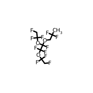 CC(F)(F)COC(F)(OC(F)(F)CF)C(F)(F)OC(F)(F)CF